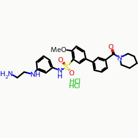 COc1ccc(-c2cccc(C(=O)N3CCCCC3)c2)cc1S(=O)(=O)Nc1cccc(NCCN)c1.Cl.Cl